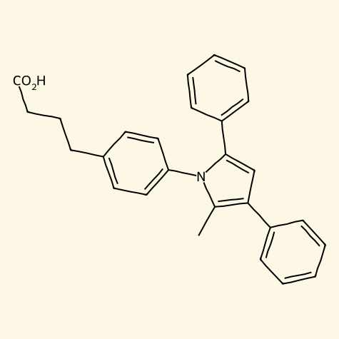 Cc1c(-c2ccccc2)cc(-c2ccccc2)n1-c1ccc(CCCC(=O)O)cc1